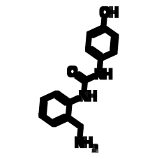 NCc1ccccc1NC(=O)Nc1ccc(O)cc1